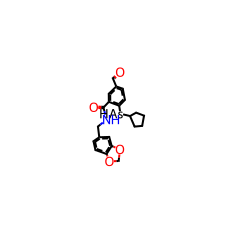 O=Cc1ccc([AsH]C2CCCC2)c(C(=O)NCc2ccc3c(c2)OCO3)c1